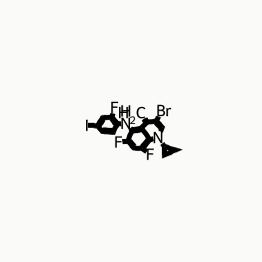 C=C1C(Br)=CN(C2CC2)c2c(F)cc(F)c(Nc3ccc(I)cc3F)c21